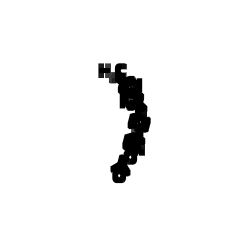 CCc1cnc2cc(CN3CCN(c4ccc(OCC5COC5)nc4)CC3)cnc2c1